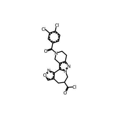 O=C(Cl)C1Cc2conc2-c2c3c(nn2C1)CCN(C(=O)c1ccc(Cl)c(Cl)c1)C3